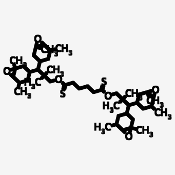 CC1CC(C(C2CC(C)C3OC3(C)C2)C(C)(C)COC(=S)CCCCC(=S)OCC(C)(C)C(C2CC(C)C3OC3(C)C2)C2CC(C)C3OC3(C)C2)CC2(C)OC12